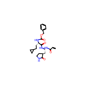 C=CC(=O)N[C@H](C[C@@H]1CCNC1=O)NC(=O)[C@H](CCC1CC1)NC(=O)OCc1ccccc1